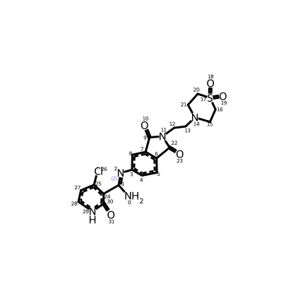 N/C(=N\c1ccc2c(c1)C(=O)N(CCN1CCS(=O)(=O)CC1)C2=O)c1c(Cl)cc[nH]c1=O